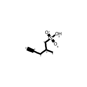 C#CCC(C)CS(=O)(=O)O